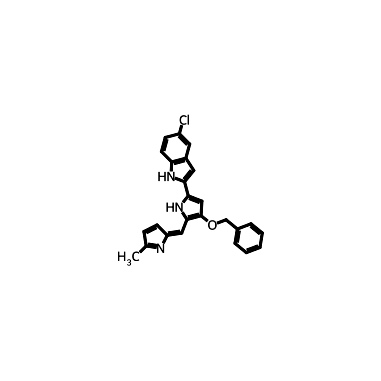 CC1=NC(=Cc2[nH]c(-c3cc4cc(Cl)ccc4[nH]3)cc2OCc2ccccc2)C=C1